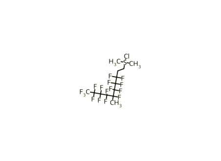 CC(F)(C(F)(F)C(F)(F)C(F)(F)CCS(C)(C)Cl)C(F)(F)C(F)(F)C(F)(F)C(F)(F)F